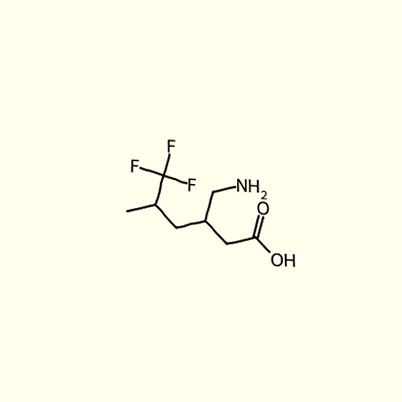 CC(CC(CN)CC(=O)O)C(F)(F)F